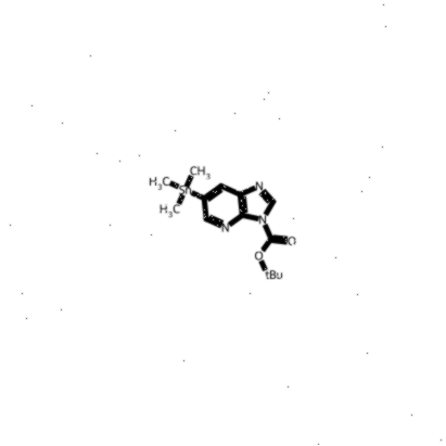 CC(C)(C)OC(=O)n1cnc2c[c]([Sn]([CH3])([CH3])[CH3])cnc21